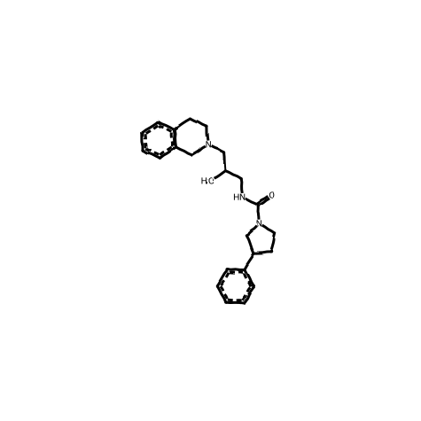 O=C(NCC(O)CN1CCc2ccccc2C1)N1CCC(c2ccccc2)C1